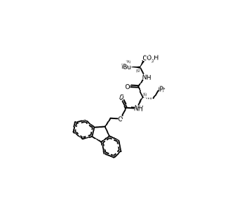 CC[C@H](C)[C@H](NC(=O)[C@H](CC(C)C)NC(=O)OCC1c2ccccc2-c2ccccc21)C(=O)O